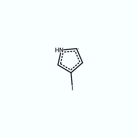 Ic1c[c][nH]c1